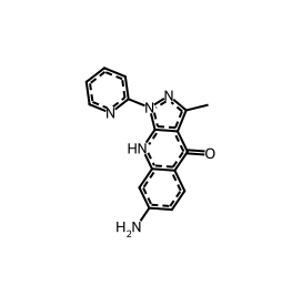 Cc1nn(-c2ccccn2)c2[nH]c3cc(N)ccc3c(=O)c12